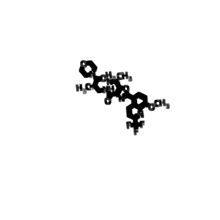 COc1ccc(-c2nc(C(=O)NC[C@@H](C)C(=O)N3CCOCC3)c([C@H](C)N)o2)c2ccc(C(F)(F)F)nc12